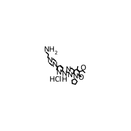 CC(=O)c1c(C)c2cnc(Nc3ccc(N4CCN(CCCN)CC4)cn3)nc2n(C2CCCC2)c1=O.Cl